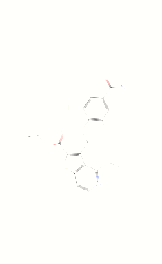 CCOC(=O)c1sc2ccnc(OC)c2c1COc1c(F)cc(C(N)=O)cc1F